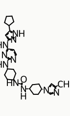 Cc1cn([C@H]2CC[C@H](NC(=O)N[C@H]3CC[C@H](Nc4nccc(Nc5cc(C6CCCC6)[nH]n5)n4)CC3)CC2)cn1